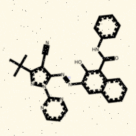 CC(C)(C)c1nn(-c2ncccn2)c(/N=N/c2cc3ccccc3c(C(=O)Nc3ccccc3)c2O)c1C#N